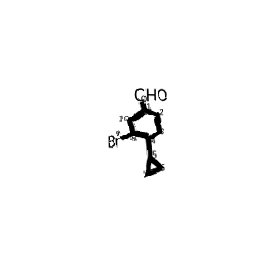 O=Cc1ccc(C2CC2)c(Br)c1